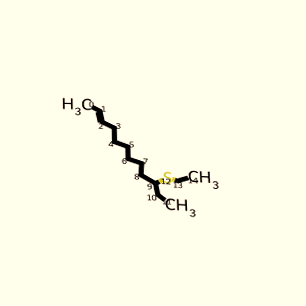 C/C=C/CCCCCCC(CC)SCC